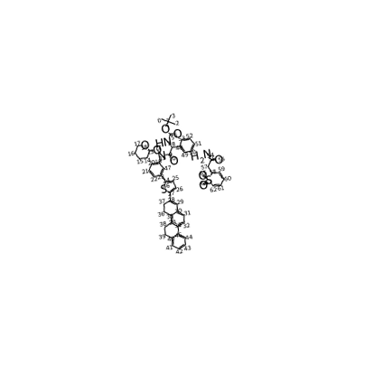 CC(C)(C)OC(=O)NC(C(=O)N(OC1CCCCO1)c1cccc(-c2ccc(C3=Cc4ccc5c(c4CC3)CCc3ccccc3-5)s2)c1)c1ccccc1.NC(=O)CC1C=CC=CS1(=O)=O